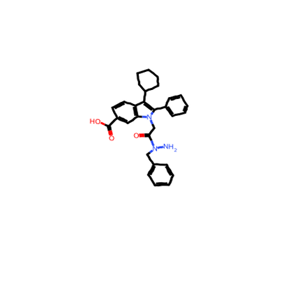 NN(Cc1ccccc1)C(=O)Cn1c(-c2ccccc2)c(C2CCCCC2)c2ccc(C(=O)O)cc21